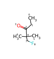 CCC(=O)C(C)(C)CF